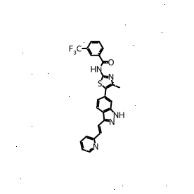 Cc1nc(NC(=O)c2cccc(C(F)(F)F)c2)sc1-c1ccc2c(/C=C/c3ccccn3)n[nH]c2c1